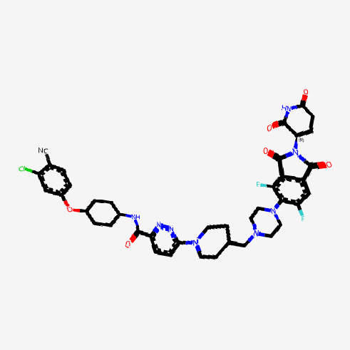 N#Cc1ccc(OC2CCC(NC(=O)c3ccc(N4CCC(CN5CCN(c6c(F)cc7c(c6F)C(=O)N([C@@H]6CCC(=O)NC6=O)C7=O)CC5)CC4)nn3)CC2)cc1Cl